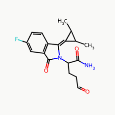 CC1C(=C2c3ccc(F)cc3C(=O)N2C(CCC=O)C(N)=O)C1C